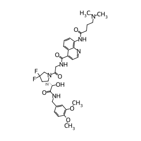 COc1ccc(CNC(=O)C(O)[C@@H]2CC(F)(F)CN2C(=O)CNC(=O)c2ccnc3c(NC(=O)CCCN(C)C)cccc23)cc1OC